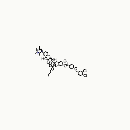 C=C/C=C(\C(C)=C(\C)N)c1ccc(C[C@H](NC(=O)[C@@H]2Cc3cc4c(cc3CN2C(=O)OCCCC)O[C@@H](c2ccc(OCc3ccc(Cl)c(Cl)c3)cc2)CO4)C(=O)O)cc1